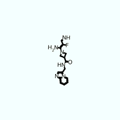 N=C/C(F)=C(\N)N1CC(C(=O)NCc2cnc3ccccn23)C1